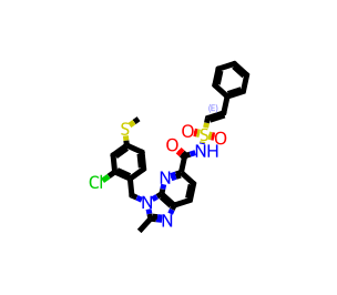 CSc1ccc(Cn2c(C)nc3ccc(C(=O)NS(=O)(=O)/C=C/c4ccccc4)nc32)c(Cl)c1